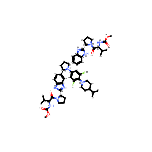 COC(=O)N[C@H](C(=O)N1CCC[C@H]1c1nc2cc([C@H]3CC[C@H](c4ccc5[nH]c([C@@H]6CCCN6C(=O)[C@@H](NC(=O)OC)C(C)C)nc5c4)N3c3cc(F)c(N4CCC(C(C)C)CC4)c(F)c3)ccc2[nH]1)C(C)C